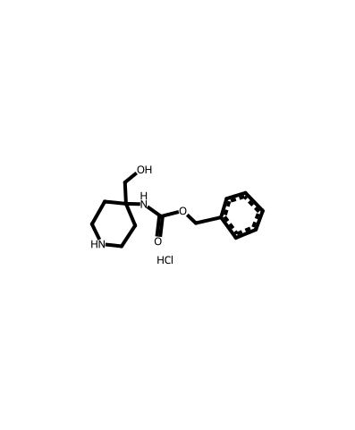 Cl.O=C(NC1(CO)CCNCC1)OCc1ccccc1